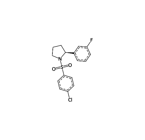 O=S(=O)(c1ccc(Cl)cc1)N1CCC[C@H]1c1cccc(F)c1